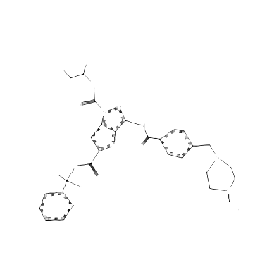 CCC(C)OC(=O)n1nc(NC(=O)c2ccc(CN3CCN(C)CC3)cc2)c2oc(C(=O)NC(C)(C)c3ccccc3)cc21